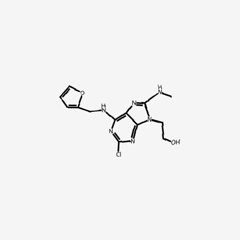 CNc1nc2c(NCc3ccco3)nc(Cl)nc2n1CCO